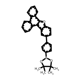 CC1(C)OB(c2ccc(-c3ccc4oc5c6ccccc6c6ccccc6c5c4c3)cc2)OC1(C)C